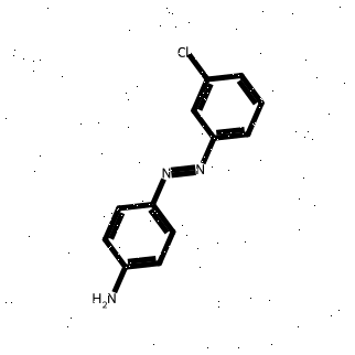 Nc1ccc(N=Nc2cccc(Cl)c2)cc1